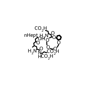 CCCCCCCC(O)CC(=O)CC(C)C[C@H](N)C(=O)N[C@H](CCC(=O)O)C(=O)O.N[C@H](CCC(=O)O)C(=O)C1COCCOCCOCCOc2ccccc2O1